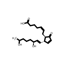 CC(O)CCC[C@H](O)/C=C/[C@H]1C=CC(=O)[C@@H]1C/C=C\CCCC(=O)O